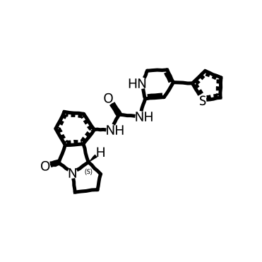 O=C(NC1=CC(c2cccs2)=CCN1)Nc1cccc2c1[C@@H]1CCCN1C2=O